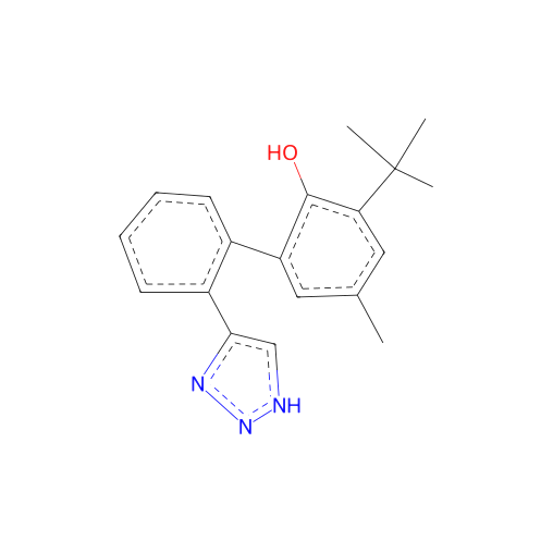 Cc1cc(-c2ccccc2-c2c[nH]nn2)c(O)c(C(C)(C)C)c1